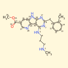 CNCCCNc1nc(Cc2ccccc2C)nc2[nH]c3cc(C(=O)OC)cnc3c12